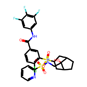 O=C(Nc1cc(F)c(F)c(F)c1)c1ccc(Cl)c(S(=O)(=O)C2CC3CCC(C2)C3(O)CNS(=O)(=O)c2ccccn2)c1